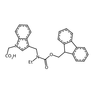 CCN(Cc1cn(CC(=O)O)c2ccccc12)C(=O)OCC1c2ccccc2-c2ccccc21